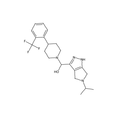 CC(C)N1Cc2[nH]nc(C(O)N3CCC(c4ccccc4C(F)(F)F)CC3)c2C1